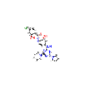 O=C(Nc1ccc(Nc2nc(N3CCCCC3)nc(N3CCCC3)n2)cc1O)c1ccc(Cl)cc1O